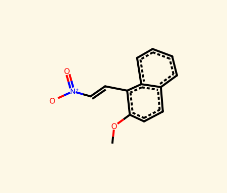 COc1ccc2ccccc2c1/C=C/[N+](=O)[O-]